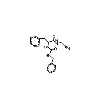 N#CCNC(=O)C(Cc1ccccc1)NC(=O)NCc1ccccc1